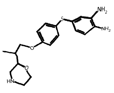 CC(COc1ccc(Sc2ccc(N)c(N)c2)cc1)C1CNCCO1